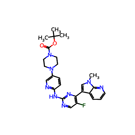 Cn1cc(-c2nc(Nc3ccc(N4CCN(C(=O)OC(C)(C)C)CC4)cn3)ncc2F)c2cccnc21